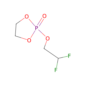 O=P1(OCC(F)F)OCCO1